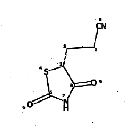 N#CCCC1SC(=O)NC1=O